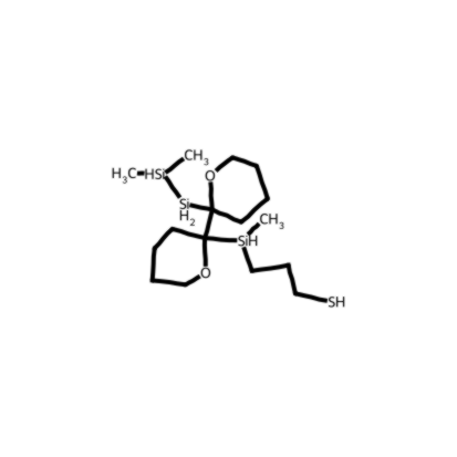 C[SiH](C)[SiH2]C1(C2([SiH](C)CCCS)CCCCO2)CCCCO1